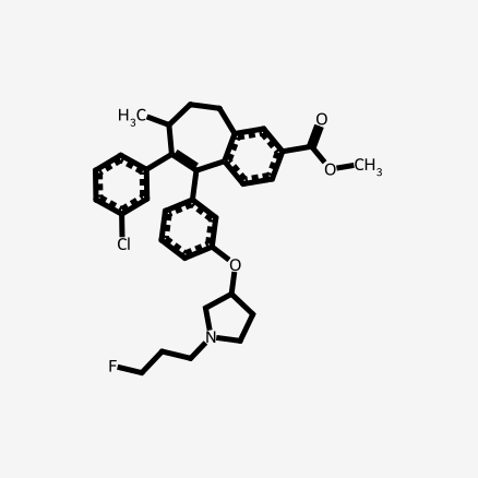 COC(=O)c1ccc2c(c1)CCC(C)C(c1cccc(Cl)c1)=C2c1cccc(OC2CCN(CCCF)C2)c1